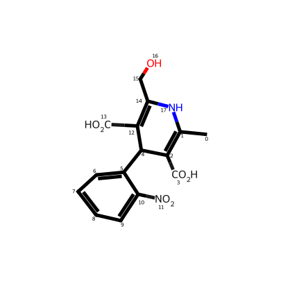 CC1=C(C(=O)O)C(c2ccccc2[N+](=O)[O-])C(C(=O)O)=C(CO)N1